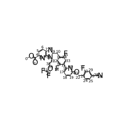 COC(=O)c1ccc2nc(Cc3cc(F)c(-c4cccc(OCc5ccc(C#N)cc5F)n4)cc3F)n(CCOC(F)F)c2n1